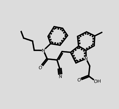 CCCCN(C(=O)/C(C#N)=C/c1cn(CC(=O)O)c2cc(C)ccc12)c1ccccc1